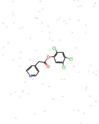 O=C(Cc1ccncc1)Oc1cc(Cl)c(Cl)cc1Cl